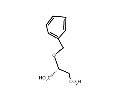 O=C(O)C[C@@H](OCc1ccccc1)C(=O)O